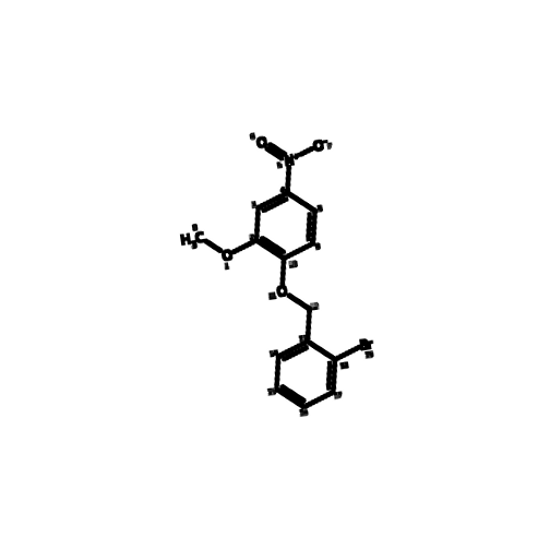 COc1cc([N+](=O)[O-])ccc1OCc1ccccc1Br